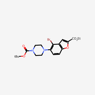 CCOC(=O)c1cc2c(Br)c(N3CCN(C(=O)OC(C)(C)C)CC3)ccc2o1